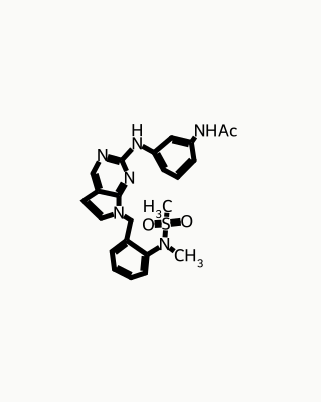 CC(=O)Nc1cccc(Nc2ncc3ccn(Cc4ccccc4N(C)S(C)(=O)=O)c3n2)c1